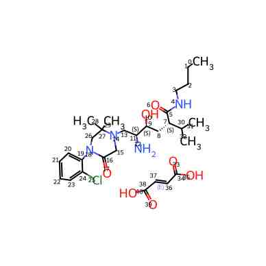 CCCCNC(=O)[C@@H](C[C@H](O)[C@@H](N)CN1CC(=O)N(c2ccccc2Cl)CC1(C)C)C(C)C.O=C(O)/C=C/C(=O)O